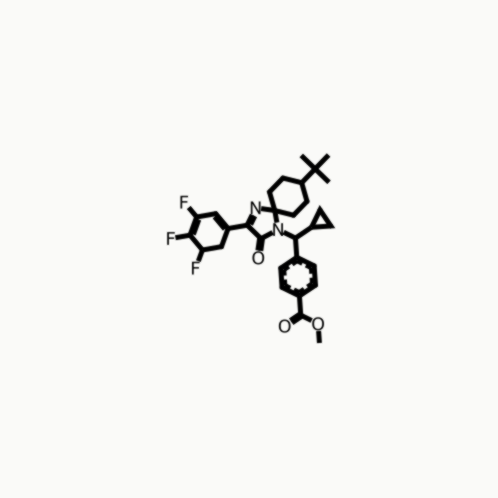 COC(=O)c1ccc(C(C2CC2)N2C(=O)C(C3=CC(F)=C(F)C(F)C3)=NC23CCC(C(C)(C)C)CC3)cc1